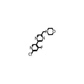 Fc1cc(Cl)ncc1-c1cnc(CN2CCOCC2)cn1